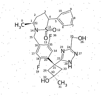 C[C@H]1CCC(c2ccccc2)S(=O)(=O)N1Cc1cc(F)c([C@]2(c3nc(CO)n[nH]3)C[C@](C)(O)C2)cc1F